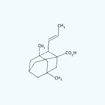 CC=CC1C2(C)CC3CC(C)(C2)CC1(C(=O)O)C3